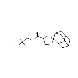 O=C(OCC(F)(F)S(=O)(=O)O)C1COC2(O1)C1CC3CC(C1)CC2C3